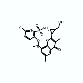 Cc1cc([C@@H](C)Oc2ccc(Cl)nc2S(N)(=O)=O)c2oc(C3CC3CO)c(C)c(=O)c2c1